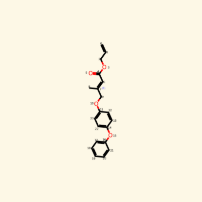 C=CCOC(=O)/C=C(\C)COc1ccc(Oc2ccccc2)cc1